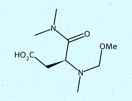 COCN(C)[C@@H](CC(=O)O)C(=O)N(C)C